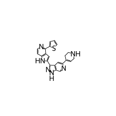 C1=C(c2cc3c(-c4cc5c(-c6cccs6)nccc5[nH]4)n[nH]c3cn2)CCNC1